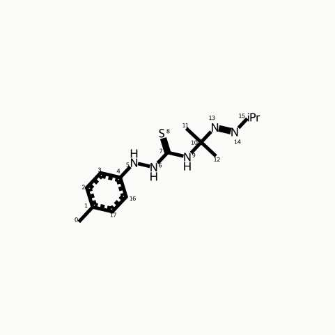 Cc1ccc(NNC(=S)NC(C)(C)/N=N/C(C)C)cc1